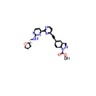 CC(C)(C)OC(=O)n1ncc2cc(C#Cc3ccnc(-c4ccnc(NC[C@@H]5CCCO5)n4)n3)ccc21